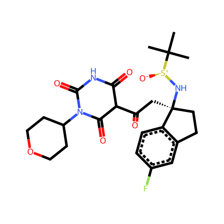 CC(C)(C)[S@+]([O-])N[C@@]1(CC(=O)C2C(=O)NC(=O)N(C3CCOCC3)C2=O)CCc2cc(F)ccc21